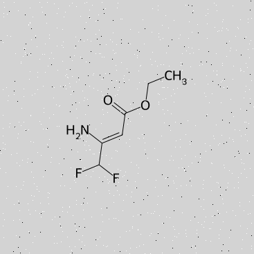 CCOC(=O)/C=C(\N)C(F)F